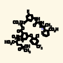 C/C(=N\NC(=O)Nc1cc(F)cc(F)c1)c1ncccc1C(=O)O.CCOC(=O)COC(=O)c1cc(Oc2ccc(C(F)(F)F)cc2Cl)ccc1[N+](=O)[O-].CP(=O)(O)CCC(N)C(=O)O